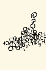 CC[C@H](C)[C@@H]([C@@H](CC(=O)N1CCC[C@@H]1[C@H](OC)[C@@H](C)C(=O)N[C@H](C)[C@@H](O)c1ccccc1)OC)N(C)C(=O)[C@@H](NC(=O)[C@H](C(C)C)N(C)C(=O)OCc1ccc(SSc2ccccn2)cc1)C(C)C